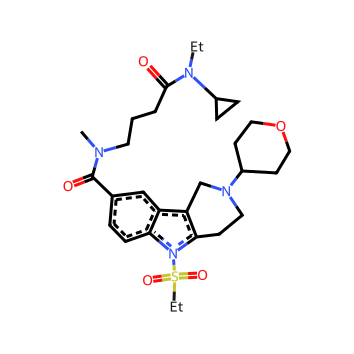 CCN(C(=O)CCCN(C)C(=O)c1ccc2c(c1)c1c(n2S(=O)(=O)CC)CCN(C2CCOCC2)C1)C1CC1